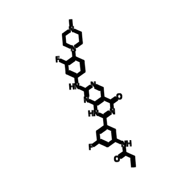 C=CC(=O)Nc1cc(F)cc(-c2nc(=O)c3cnc(Nc4ccc(N5CCN(C)CC5)c(F)c4)nc3[nH]2)c1